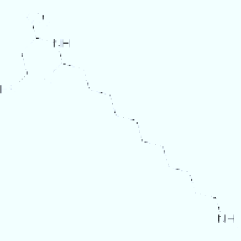 NCCCCCCCCCCCC(=O)NC(CCS)C(=O)O